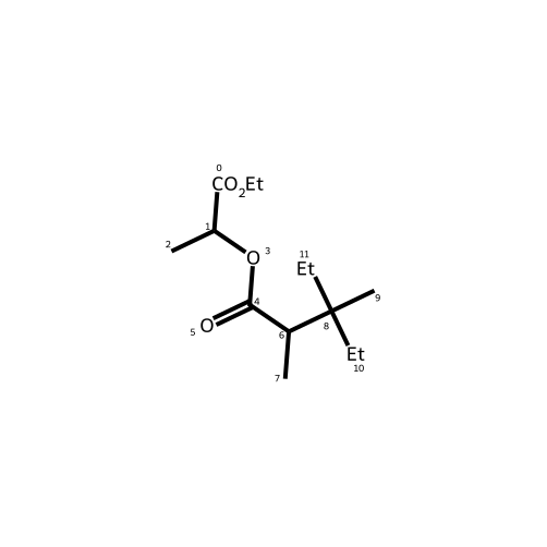 CCOC(=O)C(C)OC(=O)C(C)C(C)(CC)CC